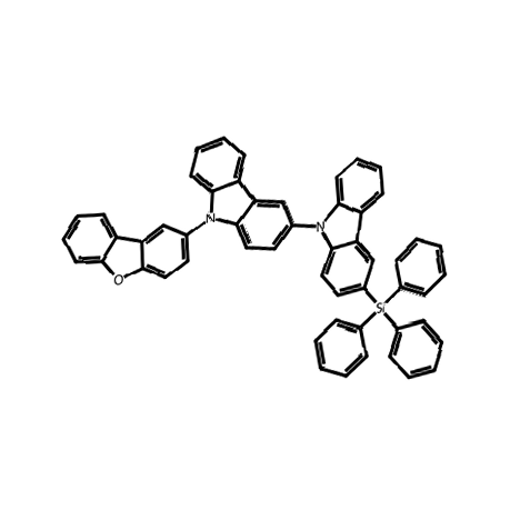 c1ccc([Si](c2ccccc2)(c2ccccc2)c2ccc3c(c2)c2ccccc2n3-c2ccc3c(c2)c2ccccc2n3-c2ccc3oc4ccccc4c3c2)cc1